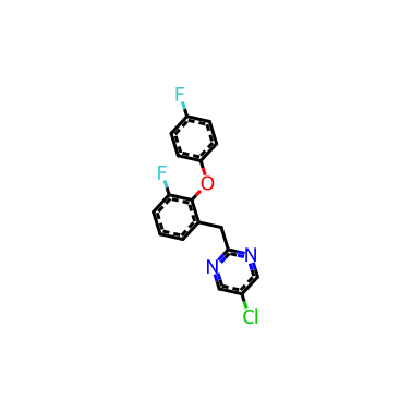 Fc1ccc(Oc2c(F)cccc2Cc2ncc(Cl)cn2)cc1